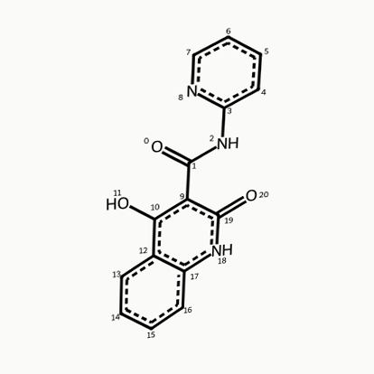 O=C(Nc1ccccn1)c1c(O)c2ccccc2[nH]c1=O